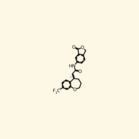 O=C(/C=C1\CCCOc2cc(C(F)(F)F)ccc21)Nc1ccc2c(c1)C(=O)OC2